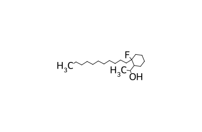 CCCCCCCCCCCC1(F)CCCCC1C(C)O